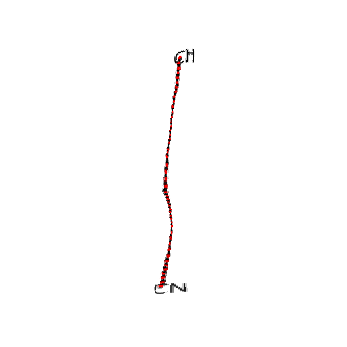 C#CC#CC#CC#CC#CC#CC#CC#CC#CC#CC#CC#CC#CC#CC#CC#CC#CC#CC#CC#CC#CC#CC#CC#CC#CC#CC#CC#CC#CC#CC#CC#CC#CC#CC#CC#CC#CC#CC#CC#CC#CC#CC#CC#CC#CC#CC#CC#CC#CC#N